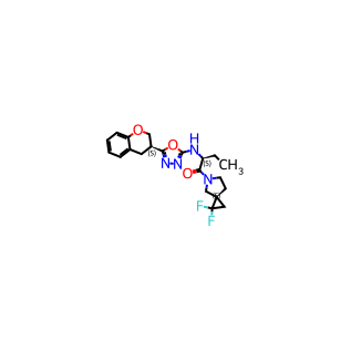 CC[C@H](Nc1nnc([C@@H]2COc3ccccc3C2)o1)C(=O)N1CC[C@@]2(C1)CC2(F)F